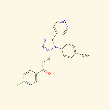 COc1ccc(-n2c(SCC(=O)c3ccc(F)cc3)nnc2-c2ccncc2)cc1